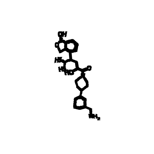 NCc1cccc(C2CCN(C(=O)C(O)CC(c3cccc4c3COB4O)C(S)S)CC2)c1